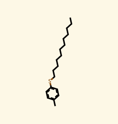 CCCCCCCCCCCCSc1ccc(C)cc1